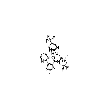 Cc1nc(C(=O)N2CC(F)(F)C[C@@H](C)[C@H]2CNc2ncc(C(F)(F)F)cn2)c(-c2ncccn2)s1